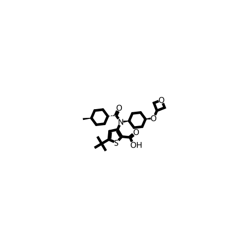 CC(C)(C)c1cc(N(C(=O)[C@H]2CC[C@H](C)CC2)[C@H]2CC[C@@H](OC3COC3)CC2)c(C(=O)O)s1